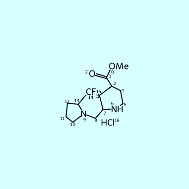 COC(=O)C1CCNC(CN2CCCC2C(F)(F)F)C1.Cl